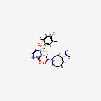 Cc1cc(S(=O)(=O)N2C=CNC(=O)[C@H]2CC(=O)N2CCCC[C@@H](N(C)C)CC2)c(C)cc1Cl